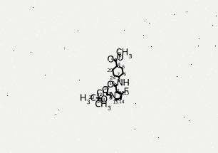 COC(=O)C1CCC(NC(=O)c2c(F)ccn2C(=O)OC(C)(C)C)CC1